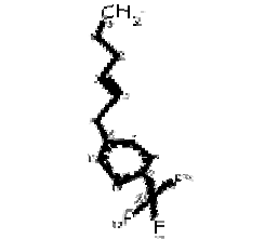 [CH2]CCC=CCc1ccc(C(F)(F)F)cc1